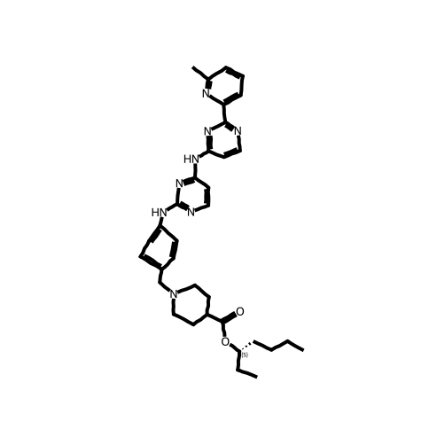 CCCC[C@H](CC)OC(=O)C1CCN(Cc2ccc(Nc3nccc(Nc4ccnc(-c5cccc(C)n5)n4)n3)cc2)CC1